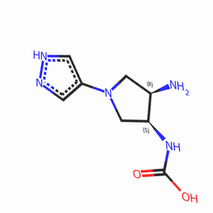 N[C@@H]1CN(c2cn[nH]c2)C[C@@H]1NC(=O)O